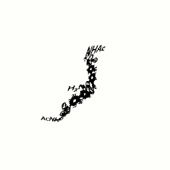 CC(=O)NC[C@H]1CN(c2ccc(-c3ccc(CN(Cc4ccc(-c5ccc(N6C[C@H](CNC(C)=O)OC6=O)cc5F)cc4)C(=O)NN)cc3)c(F)c2)C(=O)O1